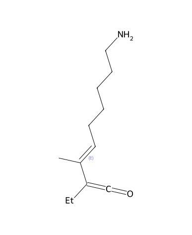 CCC(=C=O)/C(C)=C/CCCCCN